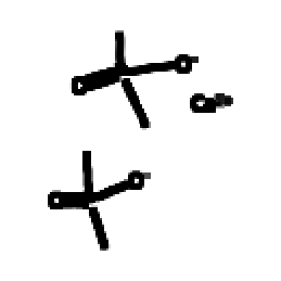 CP(C)(=O)[O-].CP(C)(=O)[O-].[Ca+2]